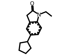 CCN1C(=O)Cc2cc(C3CCCC3)ccc21